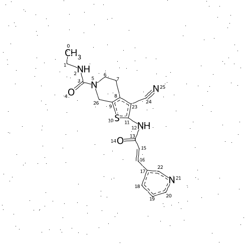 CCNC(=O)N1CCc2c(sc(NC(=O)/C=C/c3cccnc3)c2C#N)C1